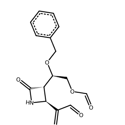 C=C(C=O)[C@H]1NC(=O)[C@@H]1[C@H](COC=O)OCc1ccccc1